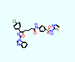 O=C(CCCc1oc(-n2cnc3ccccc32)nc1-c1ccc(Cl)cc1)Nc1ccc(S(=O)(=O)Nc2nccs2)cc1